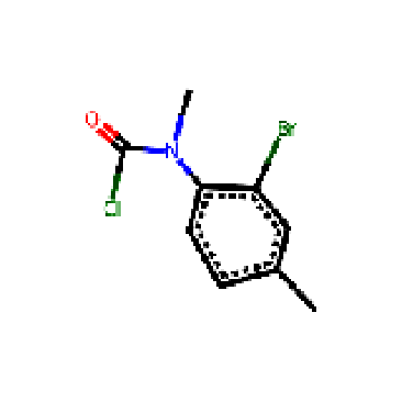 Cc1ccc(N(C)C(=O)Cl)c(Br)c1